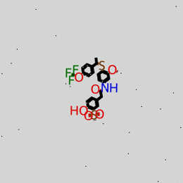 COc1cc(NC(=O)Cc2ccc(O)c(S(C)(=O)=O)c2)ccc1SC(C)c1ccc(OC(F)(F)F)cc1